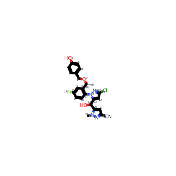 C[C@@H](OCc1ccc(O)cc1)c1cc(F)ccc1-n1nc(Cl)cc1C(O)c1cc(C#N)nn1C